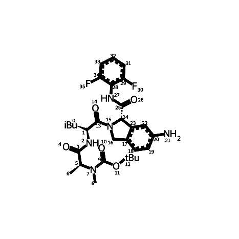 CC[C@H](C)[C@H](NC(=O)[C@H](C)N(C)C(=O)OC(C)(C)C)C(=O)N1Cc2ccc(N)cc2[C@H]1C(=O)Nc1c(F)cccc1F